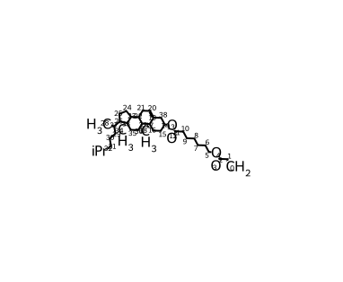 C=CC(=O)OCCCCCCC(=O)OC1CC[C@@]2(C)C(=CCC3C4CCC(C(C)CCCC(C)C)[C@@]4(C)CCC32)C1